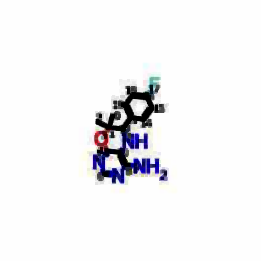 CC1(C)Oc2ncnc(N)c2NC1c1ccc(F)cc1